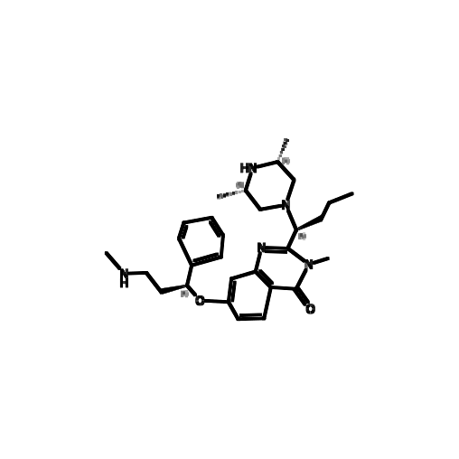 CCC[C@@H](c1nc2cc(O[C@@H](CCNC)c3ccccc3)ccc2c(=O)n1C)N1C[C@@H](C)N[C@@H](C)C1